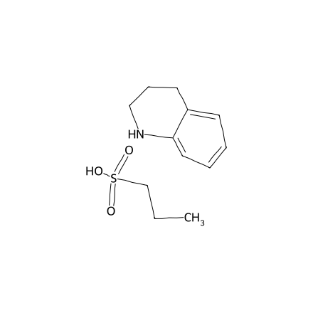 CCCS(=O)(=O)O.c1ccc2c(c1)CCCN2